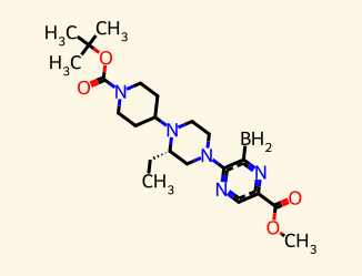 Bc1nc(C(=O)OC)cnc1N1CCN(C2CCN(C(=O)OC(C)(C)C)CC2)[C@@H](CC)C1